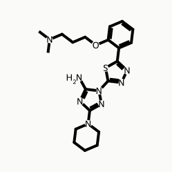 CN(C)CCCOc1ccccc1-c1nnc(-n2nc(N3CCCCC3)nc2N)s1